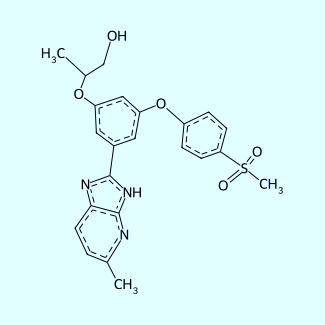 Cc1ccc2nc(-c3cc(Oc4ccc(S(C)(=O)=O)cc4)cc(OC(C)CO)c3)[nH]c2n1